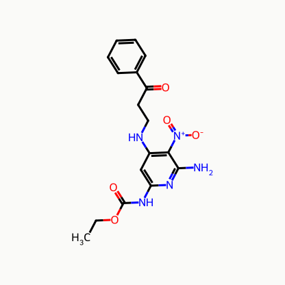 CCOC(=O)Nc1cc(NCCC(=O)c2ccccc2)c([N+](=O)[O-])c(N)n1